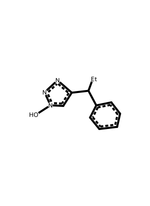 CCC(c1ccccc1)c1cn(O)nn1